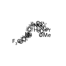 COc1ccc(N2CCCSC2NC(=O)NCC(C)(C)Cc2ccc(-c3ncn(-c4ccc(OC(F)(F)F)cc4)n3)cc2)c(C(C)C)c1